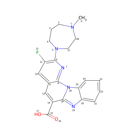 CN1CCCN(c2nc3c(cc2F)cc(C(=O)O)c2nc4ccccc4n23)CC1